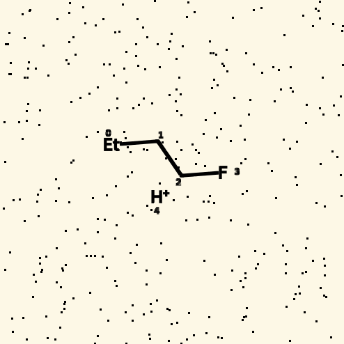 CCCCF.[H+]